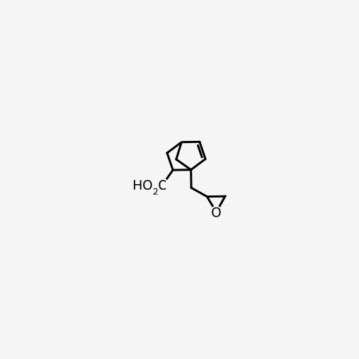 O=C(O)C1CC2C=CC1(CC1CO1)C2